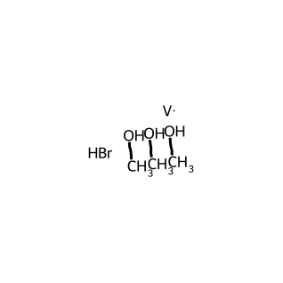 Br.CO.CO.CO.[V]